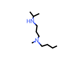 CCCCN(C)CCCNC(C)C